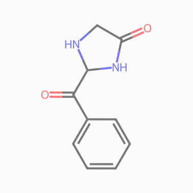 O=C1CNC(C(=O)c2ccccc2)N1